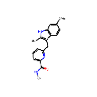 COc1ccc2c(Cc3cccc(C(=O)NC#N)n3)c(C(C)(C)C)[nH]c2c1